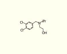 CC(C)N(CCO)Cc1ccc(Cl)c(Cl)c1